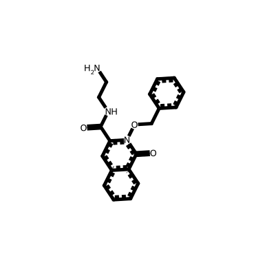 NCCNC(=O)c1cc2ccccc2c(=O)n1OCc1ccccc1